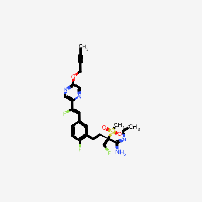 CC#CCOc1cnc(/C(F)=C/c2ccc(F)c(CC[C@](CF)(/C(N)=N\CC)S(C)(=O)=O)c2)cn1